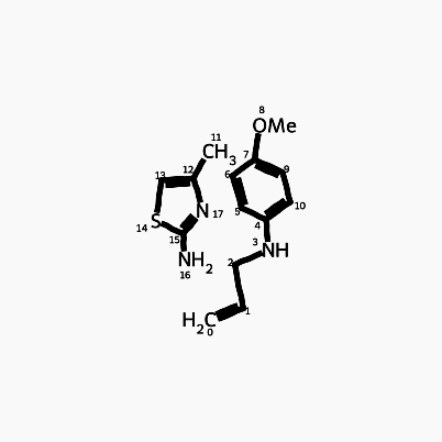 C=CCNc1ccc(OC)cc1.Cc1csc(N)n1